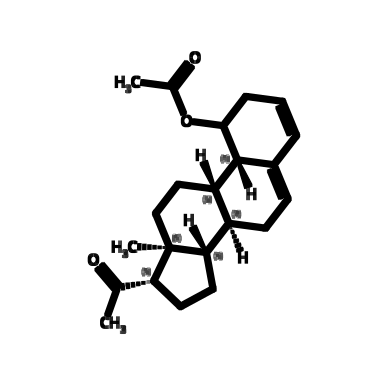 CC(=O)OC1CC=CC2=CC[C@@H]3[C@H](CC[C@]4(C)[C@@H](C(C)=O)CC[C@@H]34)[C@@H]21